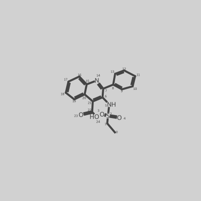 CCS(=O)(=O)Nc1c(-c2ccccc2)nc2ccccc2c1C(=O)O